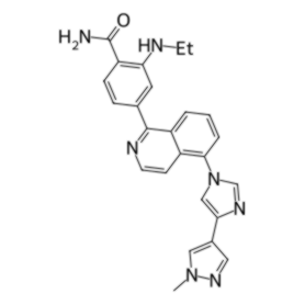 CCNc1cc(-c2nccc3c(-n4cnc(-c5cnn(C)c5)c4)cccc23)ccc1C(N)=O